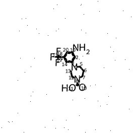 Nc1cc(N2CCCN(C(=O)O)CC2)cc(C(F)(F)F)c1